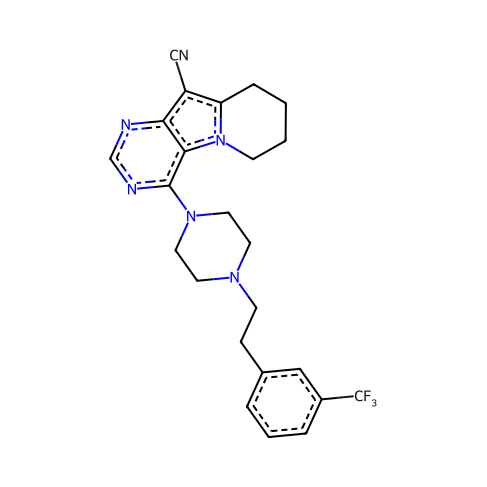 N#Cc1c2n(c3c(N4CCN(CCc5cccc(C(F)(F)F)c5)CC4)ncnc13)CCCC2